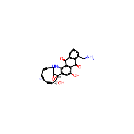 NCc1cccc2c1C(=O)c1c(O)cc3c(c1C2=O)NC1C#C/C=C\C#C[C@@H](O)[C@@]32OC12